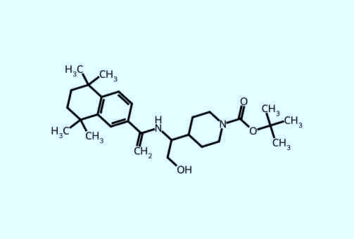 C=C(NC(CO)C1CCN(C(=O)OC(C)(C)C)CC1)c1ccc2c(c1)C(C)(C)CCC2(C)C